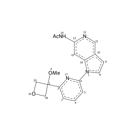 COC1(c2cccc(-n3ccc4cnc(NC(C)=O)cc43)n2)COC1